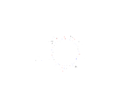 C/C=C/C[C@@H](C)[C@@H](O)[C@H]1C(=O)N[C@@H](CC)C(=O)N(C)[C@H](CSCCCN(CC(C)(C)C)CC(C)(C)C)C(=O)N(C)[C@@H](CC(C)(C)O)C(=O)N[C@@H](C(C)C)C(=O)N(C)[C@@H](CC(C)C)C(=O)N[C@@H](C)C(=O)N[C@H](C)C(=O)N(C)[C@@H](CC(C)C)C(=O)N(C)[C@@H](CC(C)C)C(=O)N(C)[C@@H](C(C)C)C(=O)N1C